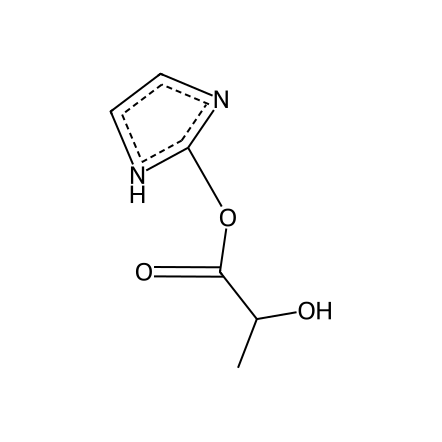 CC(O)C(=O)Oc1ncc[nH]1